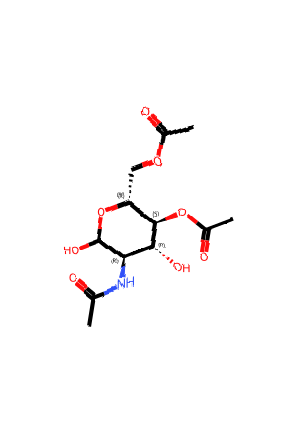 CC(=O)N[C@H]1C(O)O[C@H](COC(C)=O)[C@@H](OC(C)=O)[C@@H]1O